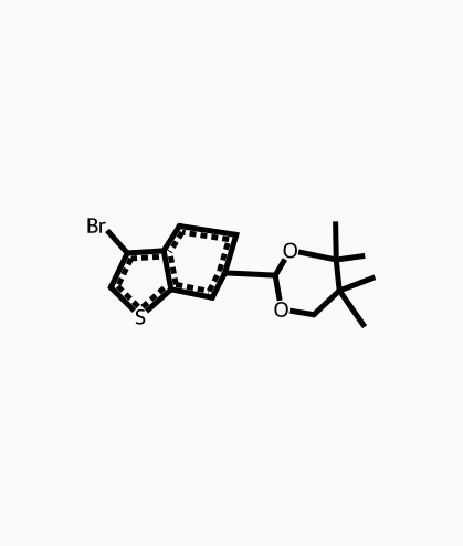 CC1(C)COC(c2ccc3c(Br)csc3c2)OC1(C)C